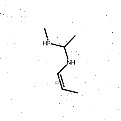 C/C=C\NC(C)PC